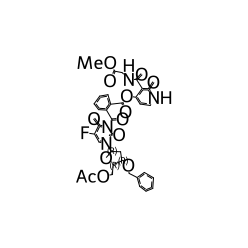 COC(=O)CNC(=O)c1c(OC(=O)c2ccccc2C(=O)n2c(=O)c(F)cn([C@H]3C[C@@H](OCc4ccccc4)[C@@H](COC(C)=O)O3)c2=O)cc[nH]c1=O